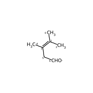 CC(C)=C(C)C[C]=O